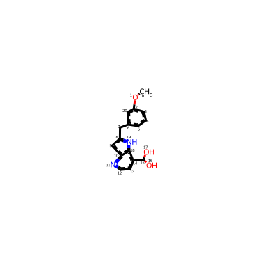 COc1cccc(Cc2cc3nccc(C(O)O)c3[nH]2)c1